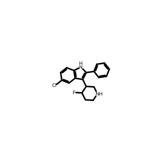 FC1CCNCC1c1c(-c2ccccc2)[nH]c2ccc(Cl)cc12